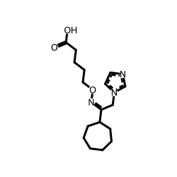 O=C(O)CCCCON=C(Cn1ccnc1)C1CCCCCC1